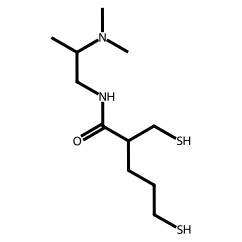 CC(CNC(=O)C(CS)CCCS)N(C)C